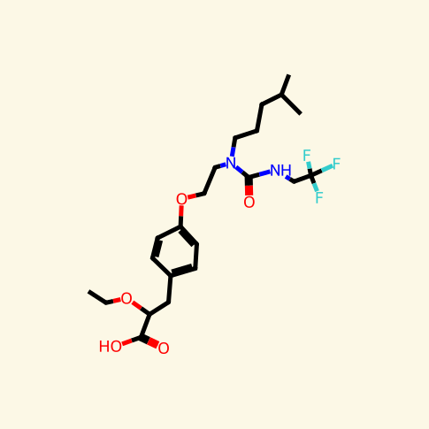 CCOC(Cc1ccc(OCCN(CCCC(C)C)C(=O)NCC(F)(F)F)cc1)C(=O)O